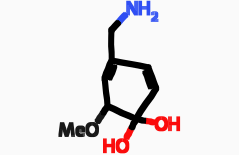 COC1C=C(CN)C=CC1(O)O